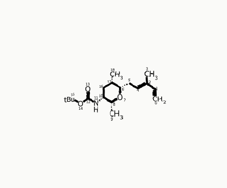 C=C/C(C)=C/C[C@@H]1O[C@H](C)[C@H](NC(=O)OC(C)(C)C)C[C@@H]1C